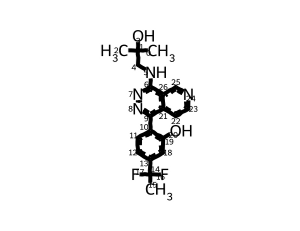 CC(C)(O)CNc1nnc(-c2ccc(C(C)(F)F)cc2O)c2ccncc12